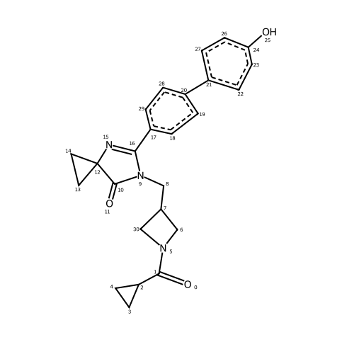 O=C(C1CC1)N1CC(CN2C(=O)C3(CC3)N=C2c2ccc(-c3ccc(O)cc3)cc2)C1